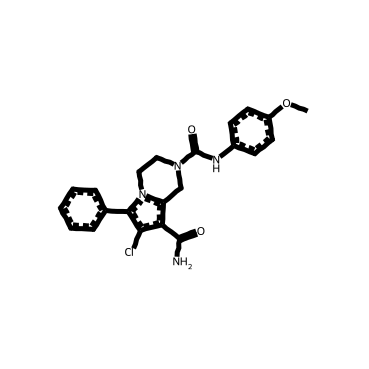 COc1ccc(NC(=O)N2CCn3c(c(C(N)=O)c(Cl)c3-c3ccccc3)C2)cc1